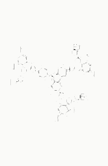 CCOCOc1c(I)cc(I)cc1COc1ccc(-[s+]2c3ccc(OCc4cc(I)cc(I)c4OCOCC)cc3c3cc(OCc4cc(I)cc(I)c4OCOCC)ccc32)cc1